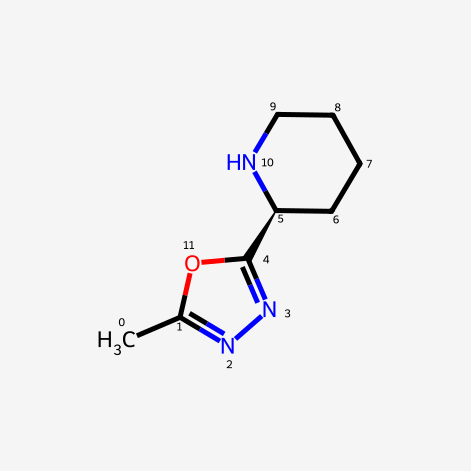 Cc1nnc([C@@H]2CCCCN2)o1